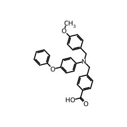 COc1ccc(CN(Cc2ccc(C(=O)O)cc2)c2ccc(Oc3ccccc3)cc2)cc1